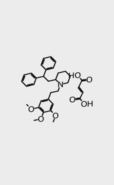 COc1cc(CCN2CCCCC2CC(c2ccccc2)c2ccccc2)cc(OC)c1OC.O=C(O)C=CC(=O)O